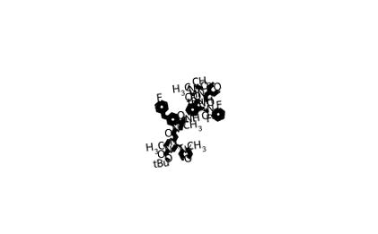 CC(C(=O)NC(C(=O)N1Cc2ccc(NC(=O)[C@@]3(C)CN(C(=O)CN4C[C@@H](C)N(C(=O)OC(C)(C)C)C[C@@H]4CN4CCOC[C@H]4C)c4cc(Cc5ccc(F)cc5)ccc43)cc2[C@H]1C(=O)Nc1c(F)cccc1F)C1CCOCC1)N(C)C(=O)OC(C)(C)C